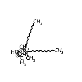 CCCCCCCCCCCCCCCC(CC)N1CCN(CC)C1CCCCCCCCCCCCCCC.CCOS(=O)(=O)O